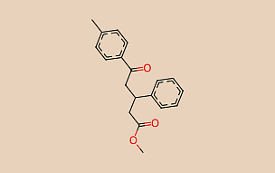 COC(=O)CC(CC(=O)c1ccc(C)cc1)c1ccccc1